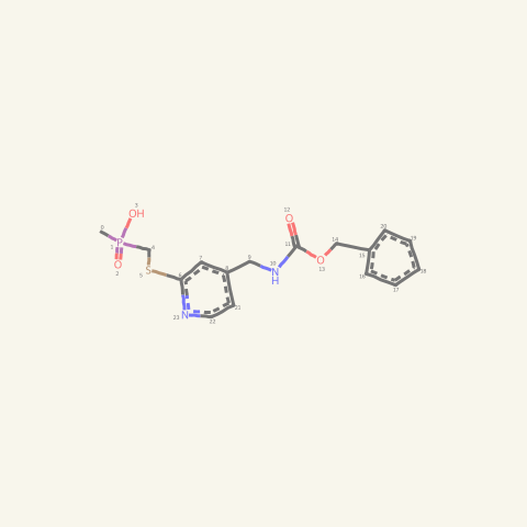 CP(=O)(O)CSc1cc(CNC(=O)OCc2ccccc2)ccn1